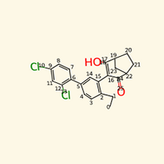 CCc1ccc(-c2ccc(Cl)cc2Cl)cc1C1=C(O)C2CCC(C2)C1=O